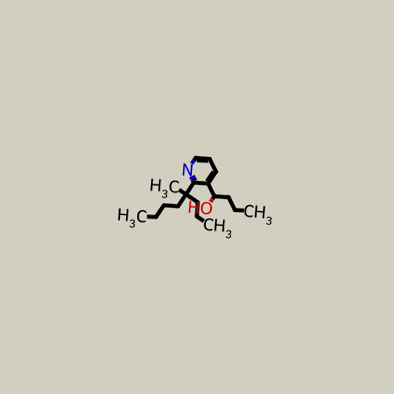 CCCCC(C)(CCC)c1ncccc1C(O)CCC